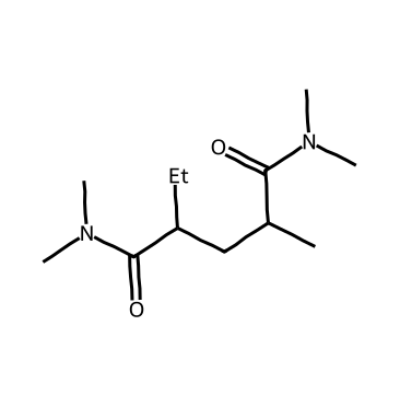 CCC(CC(C)C(=O)N(C)C)C(=O)N(C)C